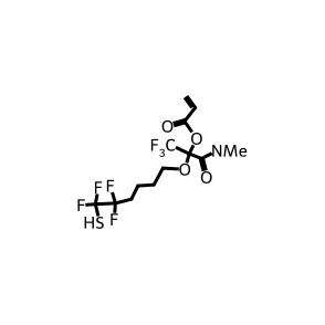 C=CC(=O)OC(OCCCCC(F)(F)C(F)(F)S)(C(=O)NC)C(F)(F)F